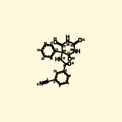 N#Cc1cccc(C(=O)NC2(c3ccccc3)C(=O)NC(=O)NC2=O)c1